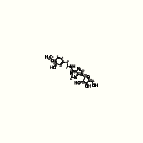 COc1ccc(CCNc2ncnc3c2ncn3C2OC(CO)C(O)C2O)cc1O